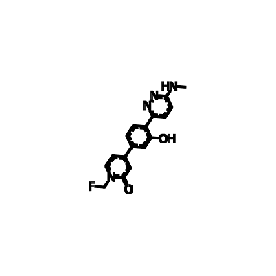 CNc1ccc(-c2ccc(-c3ccn(CF)c(=O)c3)cc2O)nn1